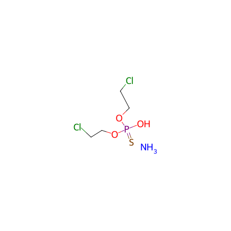 N.OP(=S)(OCCCl)OCCCl